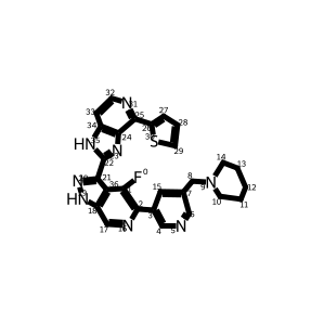 Fc1c(-c2cncc(CN3CCCCC3)c2)ncc2[nH]nc(-c3nc4c(-c5cccs5)nccc4[nH]3)c12